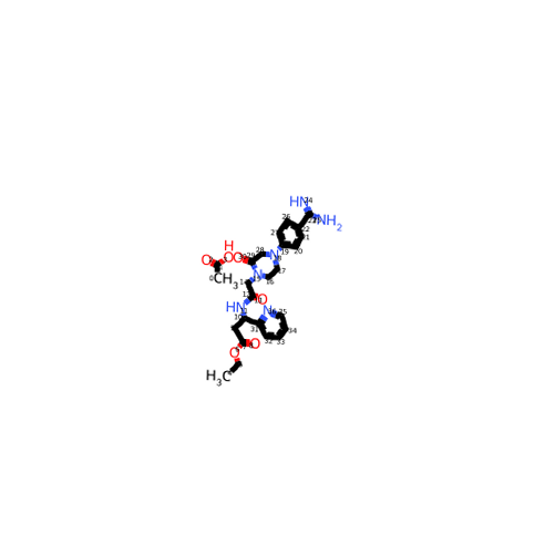 CC(=O)O.CCOC(=O)CC(NC(=O)CN1CCN(c2ccc(C(=N)N)cc2)CC1=O)c1ccccn1